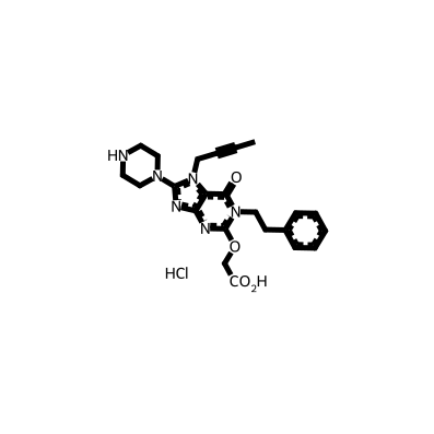 CC#CCn1c(N2CCNCC2)nc2nc(OCC(=O)O)n(CCc3ccccc3)c(=O)c21.Cl